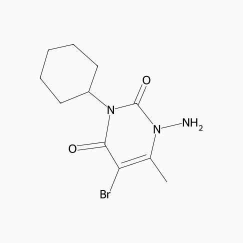 Cc1c(Br)c(=O)n(C2CCCCC2)c(=O)n1N